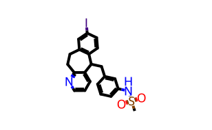 CS(=O)(=O)Nc1cccc(CC2c3ccc(I)cc3CCc3ncccc32)c1